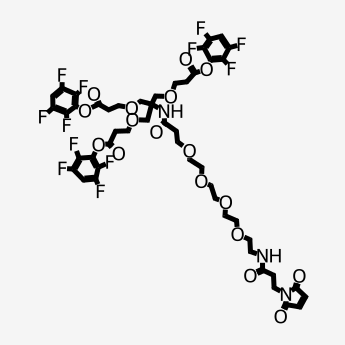 O=C(CCN1C(=O)C=CC1=O)NCCOCCOCCOCCOCCC(=O)NC(COCCC(=O)Oc1c(F)c(F)cc(F)c1F)(COCCC(=O)Oc1c(F)c(F)cc(F)c1F)COCCC(=O)Oc1c(F)c(F)cc(F)c1F